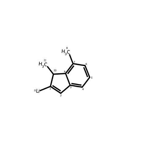 [Li][C]1=Cc2cccc(C)c2C1C